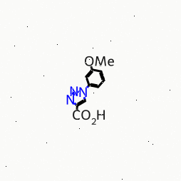 COc1cccc(-n2cc(C(=O)O)nn2)c1